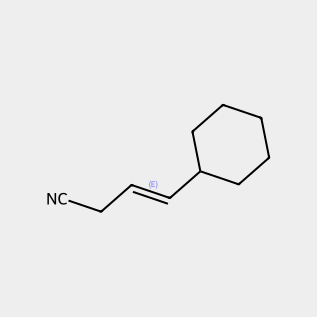 N#CC/C=C/C1CCCCC1